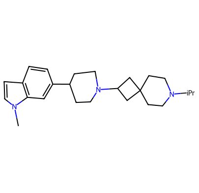 CC(C)N1CCC2(CC1)CC(N1CCC(c3ccc4ccn(C)c4c3)CC1)C2